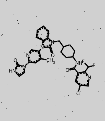 Cc1cc(-n2cc[nH]c2=O)ncc1-n1c(=O)n(CC2CCC(NC(=O)c3cc(Cl)cnc3C(F)F)CC2)c2ccccc21